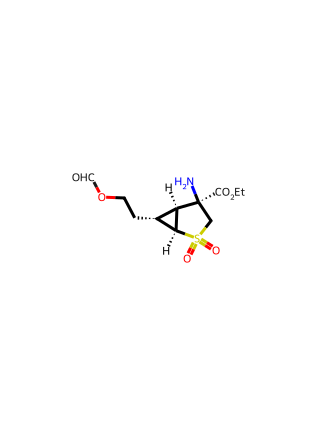 CCOC(=O)[C@]1(N)CS(=O)(=O)[C@H]2[C@H](CCOC=O)[C@H]21